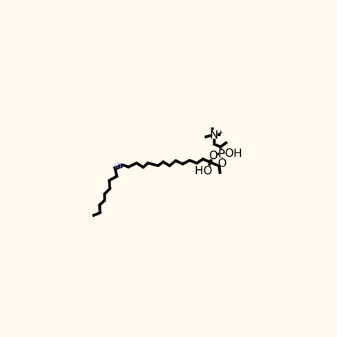 CCCCCCCC/C=C\CCCCCCCCCCCCC(O)(CC)OP(=O)(O)C(C)C[N+](C)(C)C